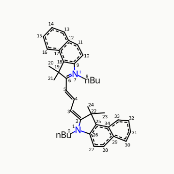 CCCCN1C(=CC=CC2=[N+](CCCC)c3ccc4ccccc4c3C2(C)C)C(C)(C)c2c1ccc1ccccc21